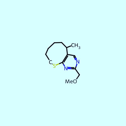 COCc1ncc2c(n1)SCCCCCC2C